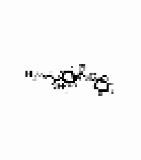 C=CCC(N)c1ccc(C(=O)NOC2CCCCO2)cc1